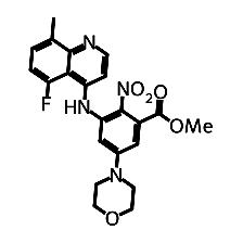 COC(=O)c1cc(N2CCOCC2)cc(Nc2ccnc3c(C)ccc(F)c23)c1[N+](=O)[O-]